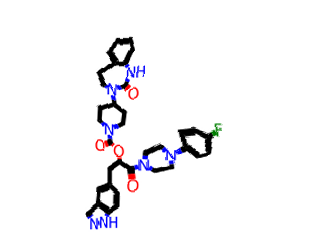 O=C(OC(Cc1ccc2[nH]ncc2c1)C(=O)N1CCN(c2ccc(F)cc2)CC1)N1CCC(N2CCc3ccccc3NC2=O)CC1